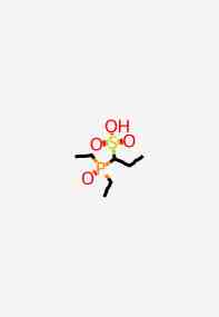 CCC(P(=O)(CC)CC)S(=O)(=O)O